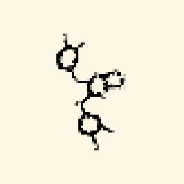 Cc1cc(Nc2nc3nonc3nc2Nc2ccc(Cl)c(C)c2)ccc1Cl